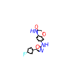 O=C1COc2cc(Nc3ncc(-c4ccc(F)cc4)o3)ccc2N1